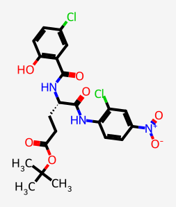 CC(C)(C)OC(=O)CC[C@H](NC(=O)c1cc(Cl)ccc1O)C(=O)Nc1ccc([N+](=O)[O-])cc1Cl